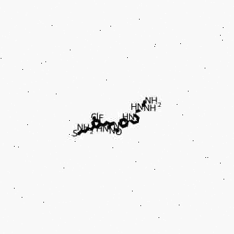 CSC[C@H](N)CCCc1cc(Cl)c(F)c(-c2cc3cn(-c4ccc([C@@H]5CCC[C@@H](CCNC(=N)CN)N5)cc4)c(=O)nc3[nH]2)c1